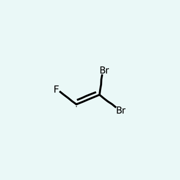 F[C]=C(Br)Br